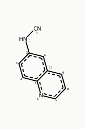 N#CNc1ccc2ncccc2c1